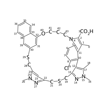 Cc1c(C(=O)O)n2c3ccc(Cl)c(c13)-c1c(nn(C)c1C)CSCc1cc(n(C)n1)CSc1cc(c3ccccc3c1)OCCC2